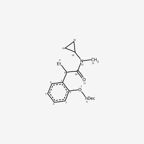 CCCCCCCCCCOc1ccccc1C(CC)C(=O)N(C)C1CC1